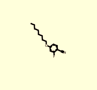 CCCCCCCCOc1ccc(C#N)c(F)c1